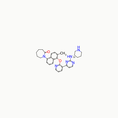 Cc1ccc2c(N3CCCCCC3=O)cccc2c1Oc1ncccc1-c1ccnc(N[C@H]2CCCNC2)n1